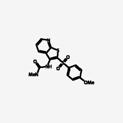 CNC(=O)Nc1c(S(=O)(=O)c2ccc(OC)cc2)sc2ncccc12